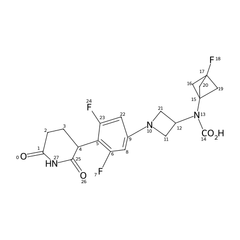 O=C1CCC(c2c(F)cc(N3CC(N(C(=O)O)C45CC(F)(C4)C5)C3)cc2F)C(=O)N1